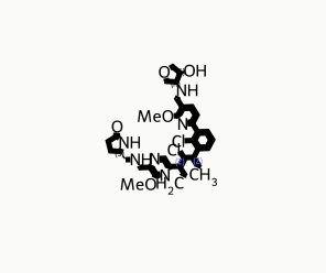 C=C/C(=C(Cl)\C(=C/C)c1cccc(-c2ccc(CN[C@@H]3COC[C@H]3O)c(OC)n2)c1Cl)c1cnc(CNC[C@@H]2CCC(=O)N2)c(OC)n1